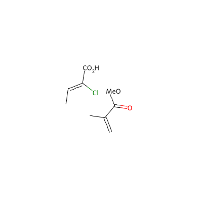 C=C(C)C(=O)OC.CC=C(Cl)C(=O)O